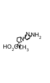 CN(C(=O)O)C1CCCN(c2ccc(N)nc2)C1